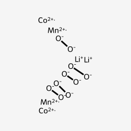 [Co+2].[Co+2].[Li+].[Li+].[Mn+2].[Mn+2].[O-][O-].[O-][O-].[O-][O-].[O-][O-].[O-][O-]